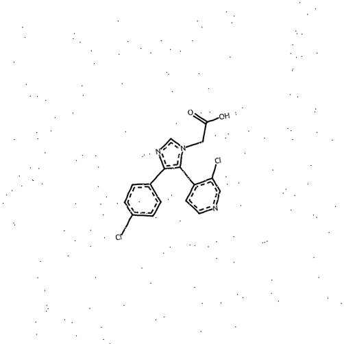 O=C(O)Cn1cnc(-c2ccc(Cl)cc2)c1-c1ccncc1Cl